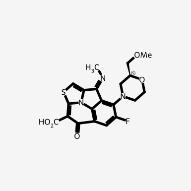 CN=c1c2c(N3CCO[C@H](COC)C3)c(F)cc3c(=O)c(C(=O)O)c4scc1n4c32